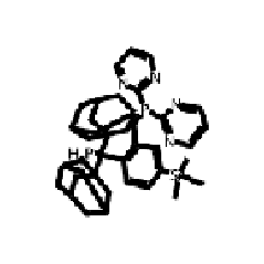 C[Si](C)(C)c1ccc(C(P)(C23CC4CC(CC(C4)C2)C3)C23CC4CC(CC(C4)C2)C3)c(CP(c2ncccn2)c2ncccn2)c1